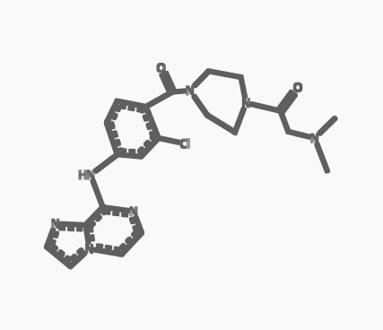 CN(C)CC(=O)N1CCN(C(=O)c2ccc(Nc3nccn4ccnc34)cc2Cl)CC1